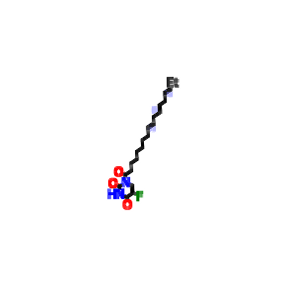 CC/C=C/C/C=C/C/C=C/CCCCCCCC(=O)n1cc(F)c(=O)[nH]c1=O